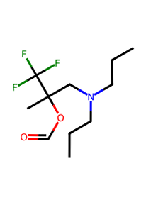 CCCN(CCC)CC(C)(OC=O)C(F)(F)F